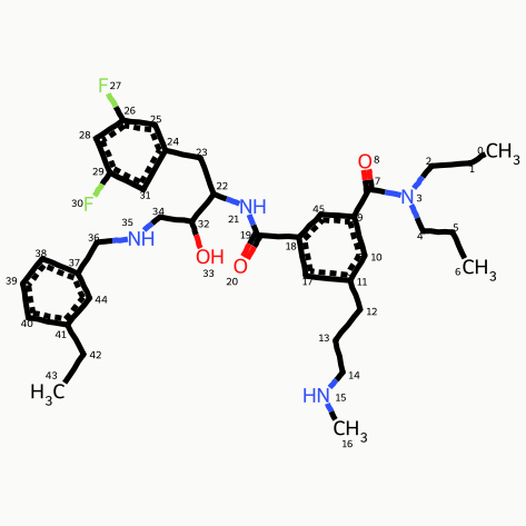 CCCN(CCC)C(=O)c1cc(CCCNC)cc(C(=O)NC(Cc2cc(F)cc(F)c2)C(O)CNCc2cccc(CC)c2)c1